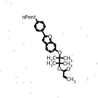 C=CC(=O)OC(C)(C)C(C)(C)Oc1ccc2cc(-c3ccc(CCCCC)cc3)oc2c1